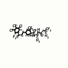 CC(CC(=O)N[C@@H](C)NC(=O)c1ccc(/C=C/C(c2cc(Cl)c(Cl)c(Cl)c2)C(F)(F)F)cc1C(F)(F)F)C(F)(F)F